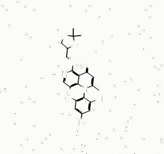 Cc1cc(=O)c2c(OCC3COC(C)(C)O3)ncc(Cl)c2n1-c1c(Cl)cc(Br)cc1Cl